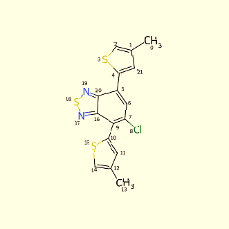 Cc1csc(-c2cc(Cl)c(-c3cc(C)cs3)c3nsnc23)c1